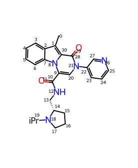 Cc1c2ccccc2n2c(C(=O)NC[C@@H]3CCCN3C(C)C)cn(-c3cccnc3)c(=O)c12